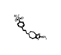 CS(=O)(=O)c1ccc(C=CCN2CCc3nc(N)sc3CC2)cc1